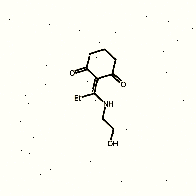 CCC(NCCO)=C1C(=O)CCCC1=O